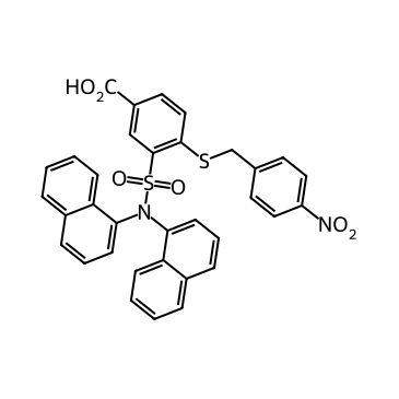 O=C(O)c1ccc(SCc2ccc([N+](=O)[O-])cc2)c(S(=O)(=O)N(c2cccc3ccccc23)c2cccc3ccccc23)c1